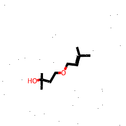 CC(C)=CCOCCC(C)(C)O